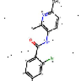 COc1ccc(NC(=O)c2ccccc2Br)c(C)n1